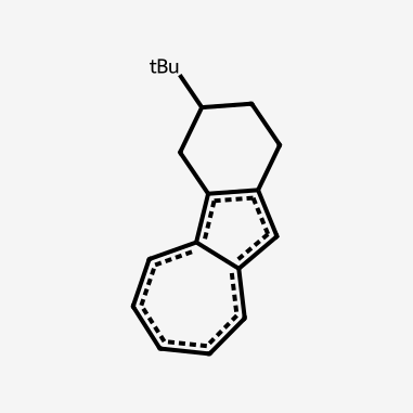 CC(C)(C)C1CCc2cc3cccccc-3c2C1